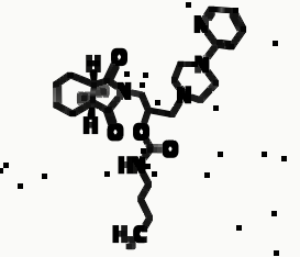 CCCCNC(=O)OC(CN1CCN(c2ccccn2)CC1)CN1C(=O)[C@H]2CC=CC[C@H]2C1=O